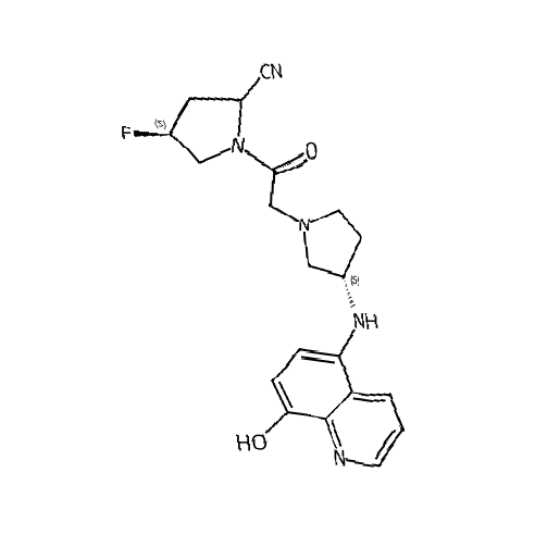 N#CC1C[C@H](F)CN1C(=O)CN1CC[C@H](Nc2ccc(O)c3ncccc23)C1